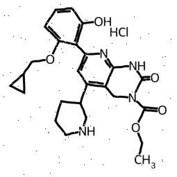 CCOC(=O)N1Cc2c(C3CCCNC3)cc(-c3c(O)cccc3OCC3CC3)nc2NC1=O.Cl